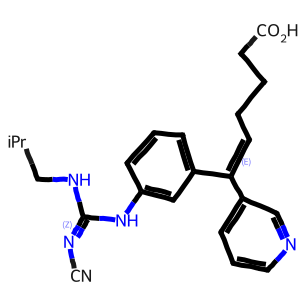 CC(C)CN/C(=N/C#N)Nc1cccc(/C(=C\CCCC(=O)O)c2cccnc2)c1